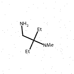 CCC(CC)(CN)NC